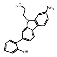 Nc1ccc2c3ccc(-c4ccccc4O)cc3n(CCO)c2c1